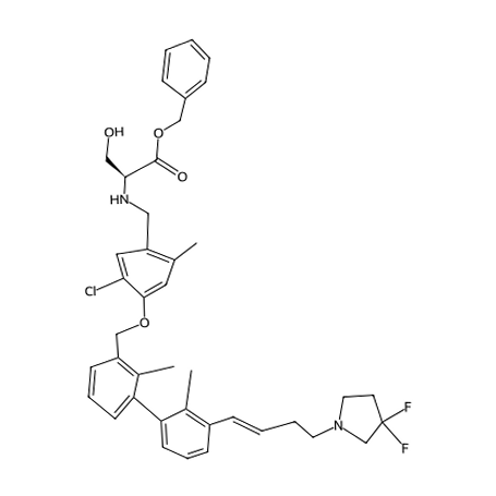 Cc1cc(OCc2cccc(-c3cccc(/C=C/CCN4CCC(F)(F)C4)c3C)c2C)c(Cl)cc1CN[C@@H](CO)C(=O)OCc1ccccc1